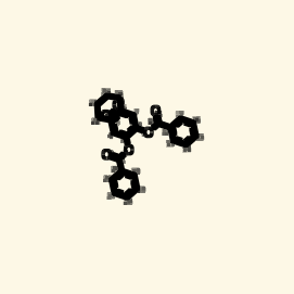 O=C(Oc1cc2c(cc1OC(=O)c1ccccc1)C1CCCC2CC1)c1ccccc1